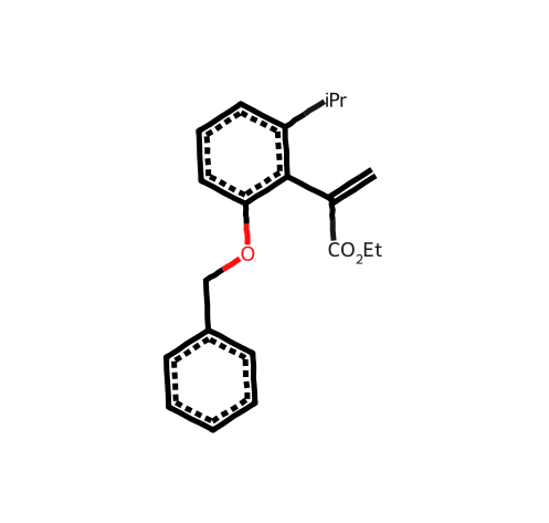 C=C(C(=O)OCC)c1c(OCc2ccccc2)cccc1C(C)C